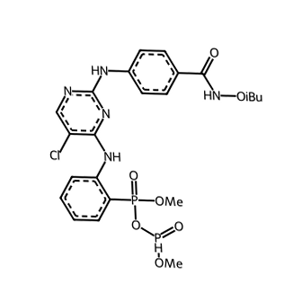 CO[PH](=O)OP(=O)(OC)c1ccccc1Nc1nc(Nc2ccc(C(=O)NOCC(C)C)cc2)ncc1Cl